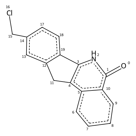 O=c1[nH]c2c(c3ccccc13)Cc1cc(CCl)ccc1-2